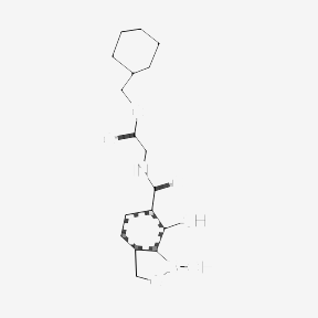 Cc1c(C(=O)NCC(=O)OCC2CCCCC2)ccc2c1B(O)OC2